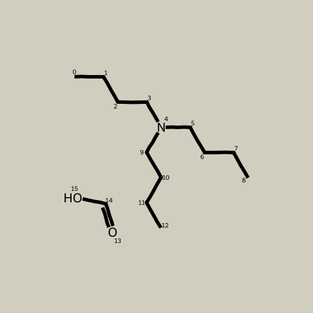 CCCCN(CCCC)CCCC.O=CO